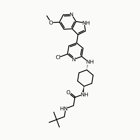 COc1cnc2[nH]cc(-c3cc(Cl)nc(N[C@H]4CC[C@H](NC(=O)CNCC(C)(C)C)CC4)c3)c2c1